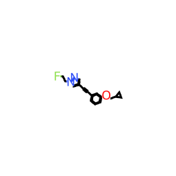 FCCn1cc(C#Cc2cccc(OCC3CC3)c2)cn1